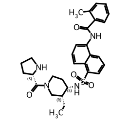 CC[C@@H]1CN(C(=O)[C@@H]2CCCN2)CC[C@@H]1NS(=O)(=O)c1cccc2c(NC(=O)c3ccccc3C)cccc12